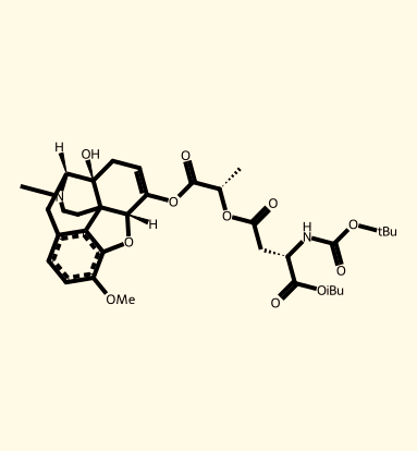 COc1ccc2c3c1O[C@H]1C(OC(=O)[C@H](C)OC(=O)C[C@H](NC(=O)OC(C)(C)C)C(=O)OCC(C)C)=CC[C@@]4(O)[C@@H](C2)N(C)CCC314